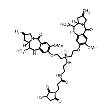 C=C1C[C@H]2C(S(=O)(=O)O)Nc3cc(OCCP(=O)(CCOc4cc5c(cc4OC)C(=O)N4CC(=C)C[C@H]4C(S(=O)(=O)O)N5)NCCNC(=O)CCN4C(=O)CC(S)C4=O)c(OC)cc3C(=O)N2C1